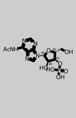 CC(=O)Nc1ncnc2c1ncn2[C@@H]1O[C@H](CO)[C@@H](OP(=O)(O)O)[C@H]1O